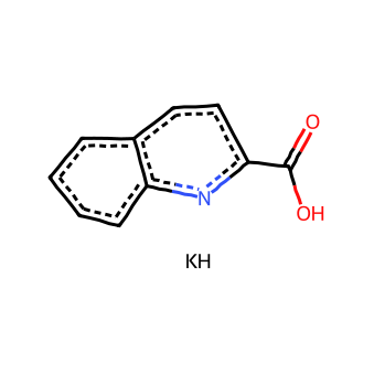 O=C(O)c1ccc2ccccc2n1.[KH]